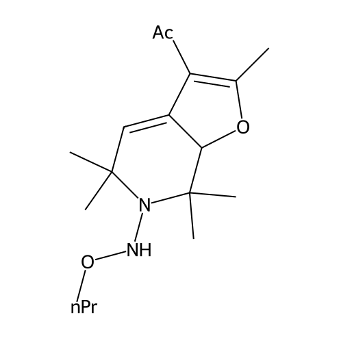 CCCONN1C(C)(C)C=C2C(C(C)=O)=C(C)OC2C1(C)C